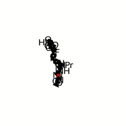 CC(C)n1nc(N2CCC(CN3CCC(c4cc5c(cc4F)C(=O)N(C4CCC(=O)NC4=O)C5=O)CC3)CC2)c2cnc(Nc3ccnc(-c4cnn(S(=O)(=O)C5CC5)c4)n3)cc21